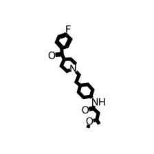 COC(C)CC(=O)NC1CCC(CCN2CCC(C(=O)c3ccc(F)cc3)CC2)CC1